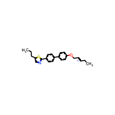 CC/C=C/COc1ccc(-c2ccc(-c3ncc(CCC)s3)cc2)cc1